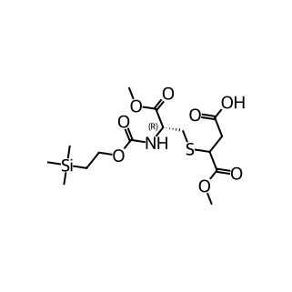 COC(=O)C(CC(=O)O)SC[C@H](NC(=O)OCC[Si](C)(C)C)C(=O)OC